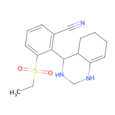 CCS(=O)(=O)c1cccc(C#N)c1C1NCNC2=CCCCC21